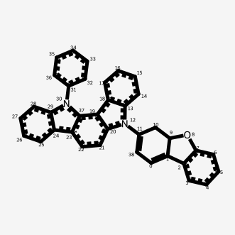 C1=C2c3ccccc3OC2CC(n2c3ccccc3c3c2ccc2c4ccccc4n(-c4ccccc4)c23)=C1